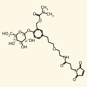 CN(C)C(=O)OCc1cc(CCCOCCNC(=O)CCN2C(=O)C=CC2=O)ccc1O[C@@H]1O[C@H](C(=O)O)[C@@H](O)[C@H](O)[C@H]1O